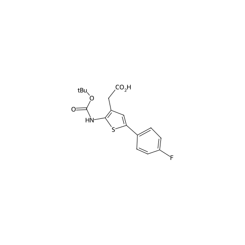 CC(C)(C)OC(=O)Nc1sc(-c2ccc(F)cc2)cc1CC(=O)O